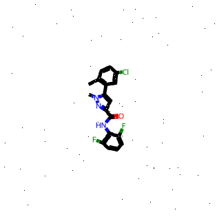 Cc1ccc(Cl)cc1-c1cc(C(=O)Nc2c(F)cccc2F)nn1C